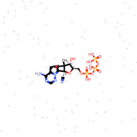 CC1(C#N)[C@H](O)[C@@H](COP(=O)(O)OP(=O)(O)OP(=O)(O)O)O[C@@]1(C#N)c1ccc2c(N)ncnn12